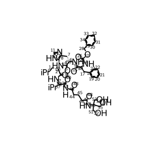 CC(C)C[C@H](NC(=O)[C@H](Cc1c[nH]cn1)NC(=O)[C@H](Cc1ccccc1)NC(=O)OCc1ccccc1)C(=O)N[C@H](C(=O)NC(=O)CCCC(=O)NC(CO)(CO)CO)C(C)C